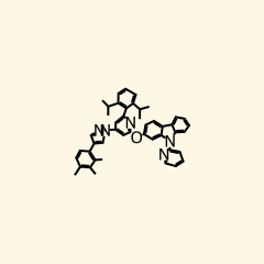 Cc1ccc(-c2cnn(-c3cc(Oc4ccc5c6ccccc6n(-c6ccccn6)c5c4)nc(-c4c(C(C)C)cccc4C(C)C)c3)c2)c(C)c1C